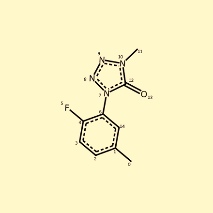 Cc1ccc(F)c(-n2nnn(C)c2=O)c1